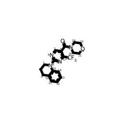 O=C(c1cnc(N2CCCc3ccccc32)nc1C(F)(F)F)N1CCOCC1